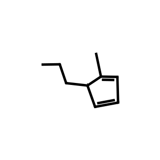 CCC[C]1C=CC=C1C